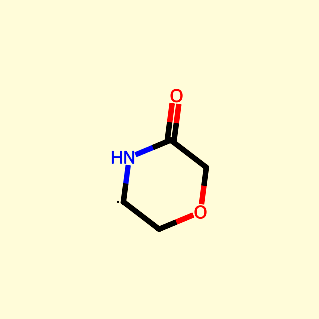 O=C1COC[CH]N1